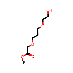 CC(C)(C)OC(=O)COCCCOCCO